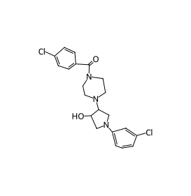 O=C(c1ccc(Cl)cc1)N1CCN(C2CN(c3cccc(Cl)c3)CC2O)CC1